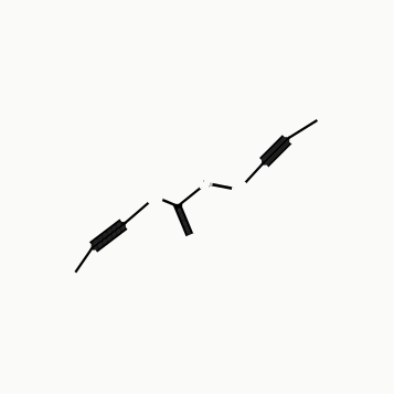 CC#CONC(=O)OC#CC